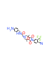 CC12CN(CC(=O)NCc3ccc(N)cc3)CC(C)(O1)C1C(=O)N(c3ccc(C#N)c(C(F)(F)F)c3)C(=O)C12